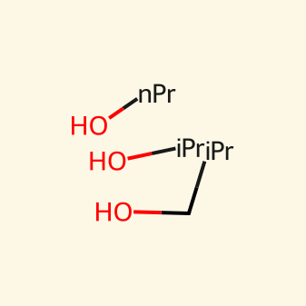 CC(C)CO.CC(C)O.CCCO